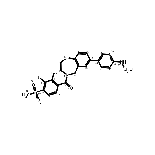 CCc1c(C(=O)N2CCOc3ccc(-c4ccc(NC=O)nc4)cc3C2)ccc(S(C)(=O)=O)c1F